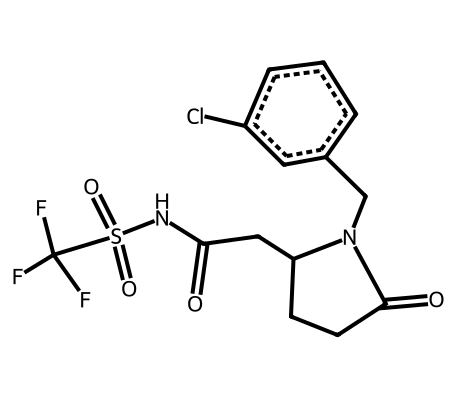 O=C(CC1CCC(=O)N1Cc1cccc(Cl)c1)NS(=O)(=O)C(F)(F)F